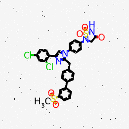 CS(=O)(=O)c1cccc(-c2ccc(Cc3nc(-c4ccc(Cl)cc4Cl)cn3-c3ccc(N4CC(=O)NS4(=O)=O)cc3)cc2)c1